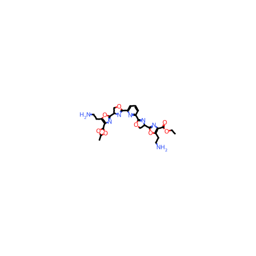 CCOC(=O)c1nc(C2COC(c3cccc(C4=NC(c5nc(C6OC(C)O6)c(CCN)o5)CO4)n3)=N2)oc1CCN